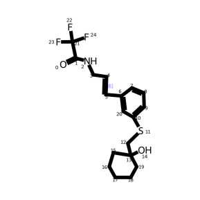 O=C(NC/C=C/c1cccc(SCC2(O)CCCCC2)c1)C(F)(F)F